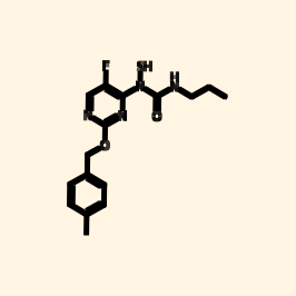 CCCNC(=O)N(S)c1nc(OCc2ccc(C)cc2)ncc1F